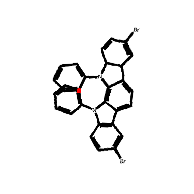 BrC1=CC2c3ccc4c5cc(Br)ccc5n(-c5ccccc5)c4c3N(c3ccccc3)C2C=C1